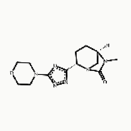 CN1C(=O)N2C[C@H]1CC[C@H]2c1nnc(N2CCOCC2)o1